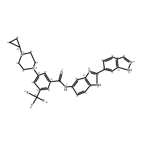 O=C(Nc1ccc2[nH]c(-c3ccc4cn[nH]c4c3)nc2c1)c1cc(N2CCN(C3CC3)CC2)cc(C(F)(F)F)c1